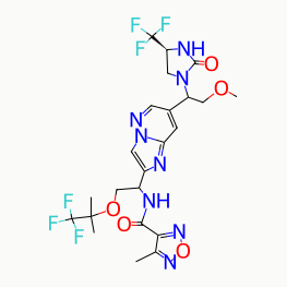 COCC(c1cnn2cc(C(COC(C)(C)C(F)(F)F)NC(=O)c3nonc3C)nc2c1)N1C[C@@H](C(F)(F)F)NC1=O